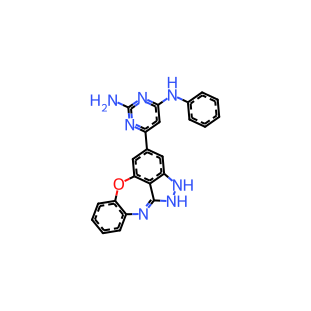 Nc1nc(Nc2ccccc2)cc(-c2cc3c4c(c2)Oc2ccccc2N=C4NN3)n1